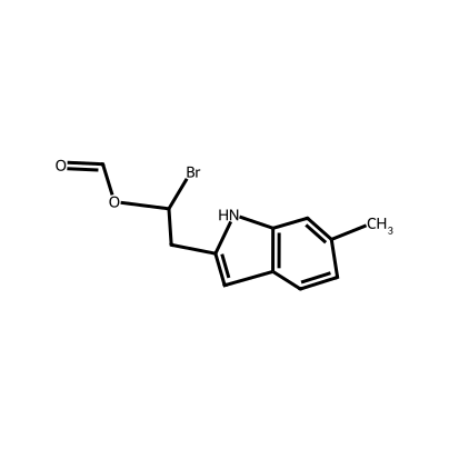 Cc1ccc2cc(CC(Br)OC=O)[nH]c2c1